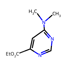 CCOC(=O)c1cc(N(C)C)ncn1